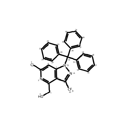 OCc1nc(Cl)cc2c1c(C(F)(F)F)nn2C(c1ccccc1)(c1ccccc1)c1ccccc1